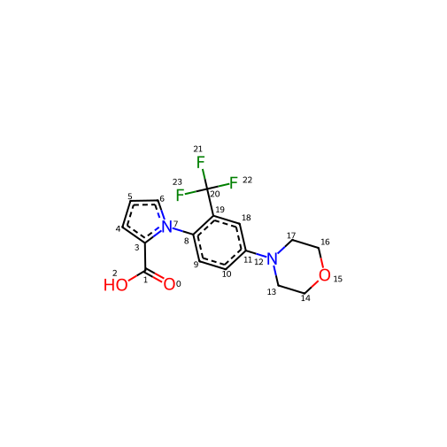 O=C(O)c1cccn1-c1ccc(N2CCOCC2)cc1C(F)(F)F